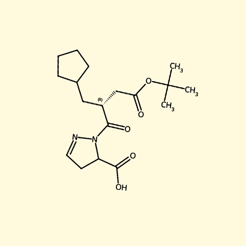 CC(C)(C)OC(=O)C[C@@H](CC1CCCC1)C(=O)N1N=CCC1C(=O)O